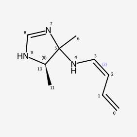 C=C/C=C\NC1(C)N=CN[C@@H]1C